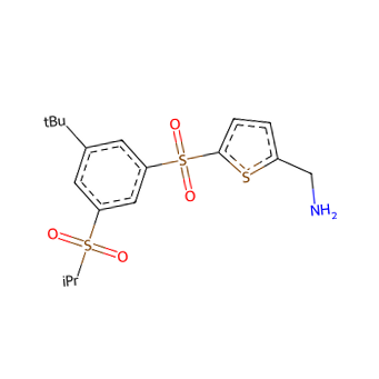 CC(C)S(=O)(=O)c1cc(C(C)(C)C)cc(S(=O)(=O)c2ccc(CN)s2)c1